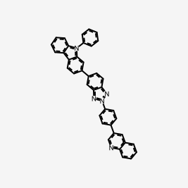 c1ccc(-n2c3ccccc3c3ccc(-c4ccc5nn(-c6ccc(-c7cnc8ccccc8c7)cc6)nc5c4)cc32)cc1